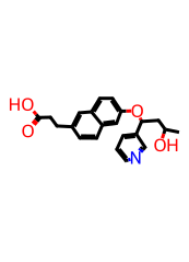 CC(O)CC(Oc1ccc2cc(CCC(=O)O)ccc2c1)c1cccnc1